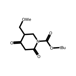 COCC1CN(C(=O)OC(C)(C)C)C(=O)CC1=O